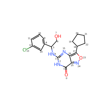 O=c1[nH]c(NC(CO)c2cccc(Cl)c2)nc2c(C3CCCC3)onc12